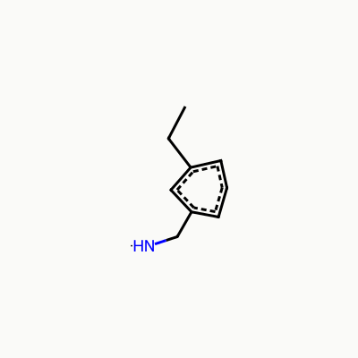 CCc1cccc(C[NH])c1